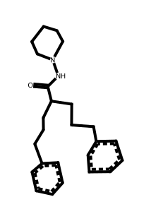 O=C(NN1CCCCC1)C(CCCc1ccccc1)CCCc1ccccc1